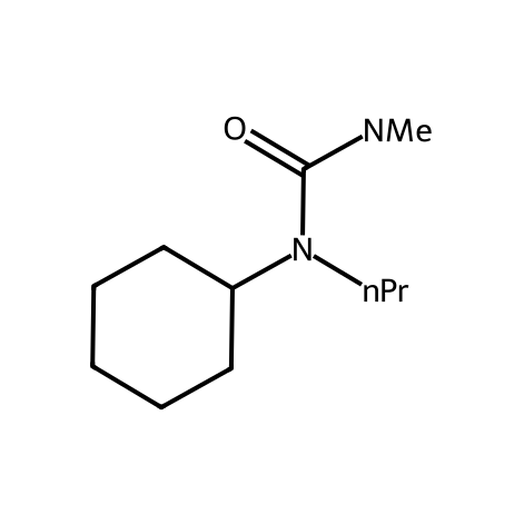 CCCN(C(=O)NC)C1CCCCC1